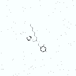 CCCCCCCC(Cn1ccnc1)OCc1ccc(Cl)cc1Cl